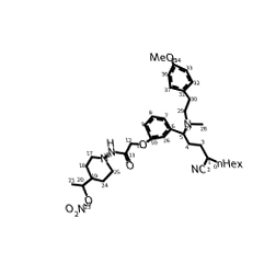 CCCCCCC(C#N)CCC(c1cccc(OCC(=O)NN2CCC(C(C)O[N+](=O)[O-])CC2)c1)N(C)CCc1ccc(OC)cc1